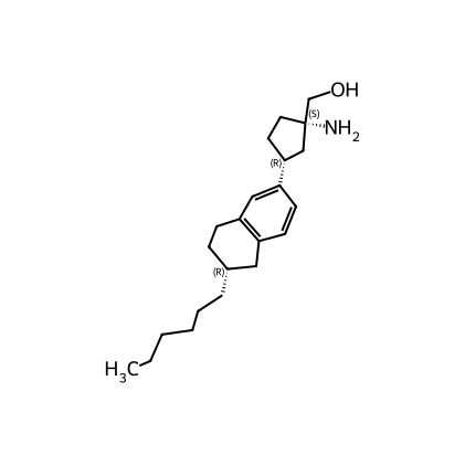 CCCCCC[C@@H]1CCc2cc([C@@H]3CC[C@@](N)(CO)C3)ccc2C1